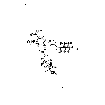 CC(C)C(=O)c1cc(OCCCC(F)(F)C(F)(F)C(F)(F)C(F)(F)F)c(OCCCC(F)(F)C(F)(F)C(F)(F)C(F)(F)F)cc1[N+](=O)[O-]